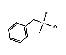 CCC[Si](F)(F)Cc1ccccc1